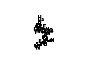 COc1nc(N2CCN(C(=O)/C(F)=C/c3nccs3)C(CC#N)C2)c2cnc(-c3cc(N)ccc3C(F)(F)F)c(F)c2n1